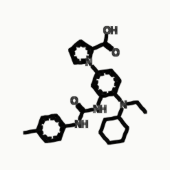 CCN(c1ccc(-n2cccc2C(=O)O)cc1NC(=O)Nc1ccc(C)cc1)C1CCCCC1